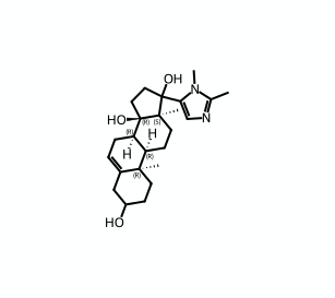 Cc1ncc(C2(O)CC[C@@]3(O)[C@@H]4CC=C5CC(O)CC[C@]5(C)[C@@H]4CC[C@]23C)n1C